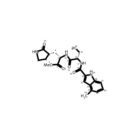 COC(=O)[C@H](C[C@@H]1CCNC1=O)NC(=O)[C@H](CC(C)C)NC(=O)c1cc2c(C)cccc2[nH]1